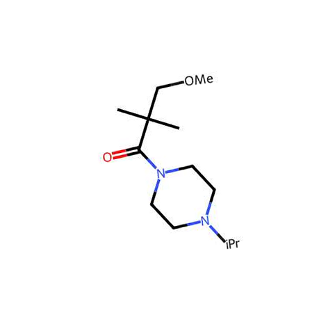 COCC(C)(C)C(=O)N1CCN(C(C)C)CC1